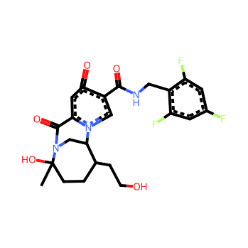 CC1(O)CCC(CCO)C2CN1C(=O)c1cc(=O)c(C(=O)NCc3c(F)cc(F)cc3F)cn12